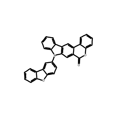 O=c1oc2ccccc2c2cc3c4ccccc4n(-c4ccc5oc6ccccc6c5c4)c3cc12